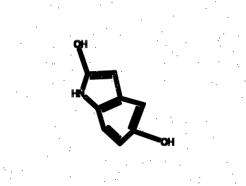 Oc1ccc2[nH]c(O)cc2c1